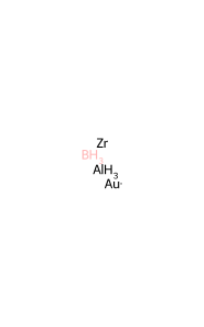 B.[AlH3].[Au].[Zr]